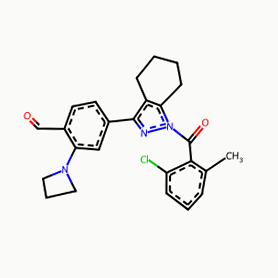 Cc1cccc(Cl)c1C(=O)n1nc(-c2ccc(C=O)c(N3CCC3)c2)c2c1CCCC2